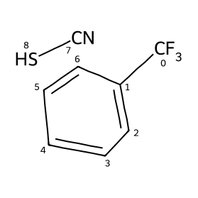 FC(F)(F)c1ccccc1.N#CS